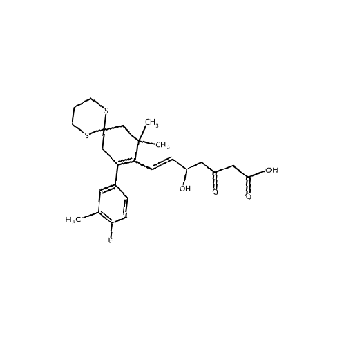 Cc1cc(C2=C(/C=C/C(O)CC(=O)CC(=O)O)C(C)(C)CC3(C2)SCCCS3)ccc1F